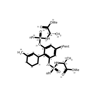 CCCCCc1cc(OP(=O)(CCC)N[C@@H](C)C(=O)OC)c(C2C=C(C)CCC2)c(OP(=O)(CCC)N[C@@H](C)C(=O)OC)c1